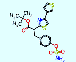 CC(C)(C)OC(=O)[C@H](Cc1ccc(OS(N)(=O)=O)cc1)c1nc(-c2ccsc2)cs1